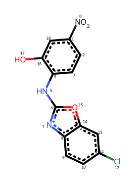 O=[N+]([O-])c1ccc(Nc2nc3ccc(Cl)cc3o2)c(O)c1